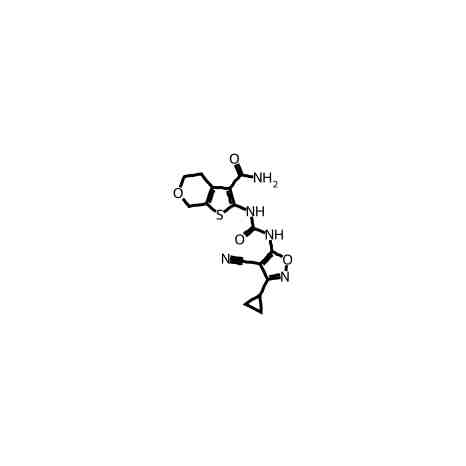 N#Cc1c(C2CC2)noc1NC(=O)Nc1sc2c(c1C(N)=O)CCOC2